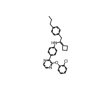 CCCc1ccc(CC(Nc2ccc(-c3nccnc3Oc3ccccc3Cl)cc2)=C2CCC2)cc1